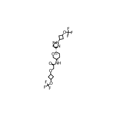 O=C(COC1CC(OC(F)(F)F)C1)N[C@@H]1CC[C@@H](c2cnn(C3CC(OC(F)(F)F)C3)n2)OC1